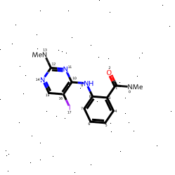 CNC(=O)c1ccccc1Nc1nc(NC)ncc1I